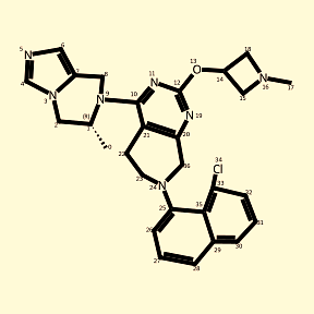 C[C@@H]1Cn2cncc2CN1c1nc(OC2CN(C)C2)nc2c1CCN(c1cccc3cccc(Cl)c13)C2